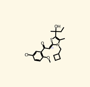 CCC(C)(O)C1=C(C)N(CC2CCC2)/C(=C/C(=O)c2cc(Cl)ccc2OC)S1